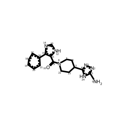 Nc1nnc(C2CCN(C(=O)c3[nH]cnc3-c3ccccc3)CC2)[nH]1